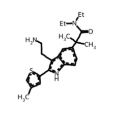 CCN(CC)C(=O)C(C)(C)c1ccc2[nH]c(-c3cc(C)cs3)c(CCN)c2c1